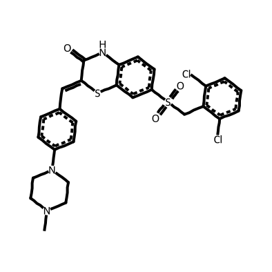 CN1CCN(c2ccc(/C=C3\Sc4cc(S(=O)(=O)Cc5c(Cl)cccc5Cl)ccc4NC3=O)cc2)CC1